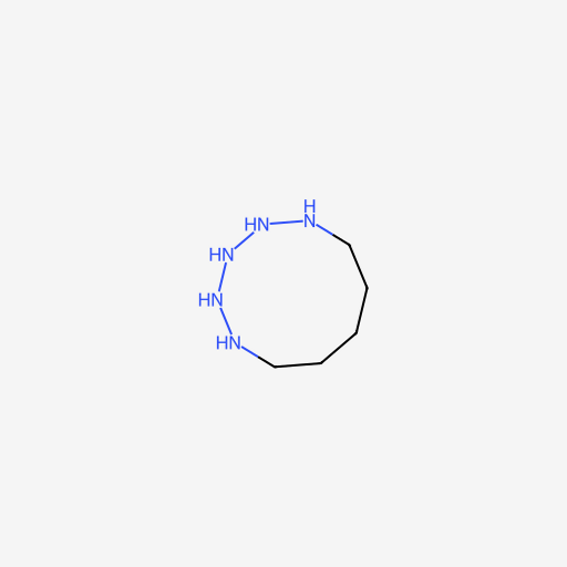 C1CCNNNNNCC1